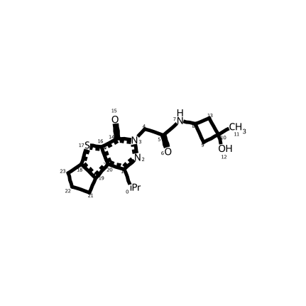 CC(C)c1nn(CC(=O)NC2CC(C)(O)C2)c(=O)c2sc3c(c12)CCC3